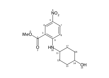 COC(=O)c1cc([N+](=O)[O-])ccc1NC1CCC(O)CC1